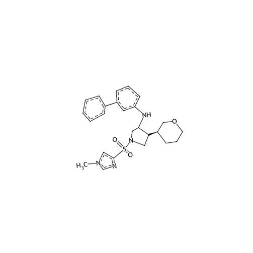 Cn1cnc(S(=O)(=O)N2CC(Nc3cccc(-c4ccccc4)c3)C([C@@H]3CCCOC3)C2)c1